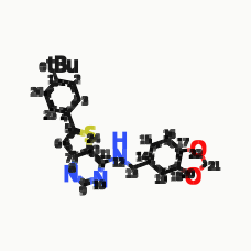 CC(C)(C)c1ccc(-c2cc3ncnc(NCc4ccc5c(c4)OCO5)c3s2)cc1